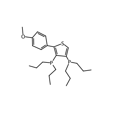 CCCP(CCC)c1csc(-c2ccc(OC)cc2)c1P(CCC)CCC